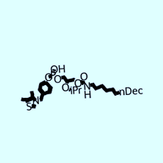 CCCCCCCCCCCCCCCCNC(=O)OCC(COP(O)Oc1ccc(C[n+]2csc(C)c2C)cc1)OC(C)C